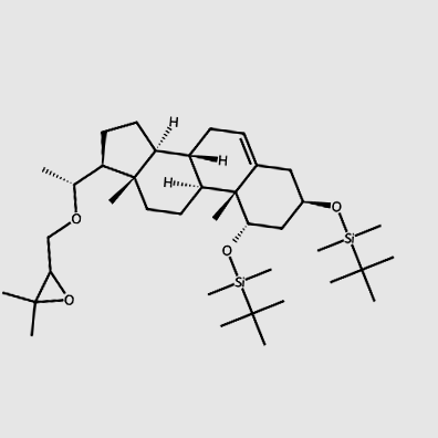 C[C@@H](OCC1OC1(C)C)[C@H]1CC[C@H]2[C@@H]3CC=C4C[C@@H](O[Si](C)(C)C(C)(C)C)C[C@H](O[Si](C)(C)C(C)(C)C)[C@]4(C)[C@H]3CC[C@]12C